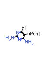 CCCCCc1c(N)nc(N)nc1CC